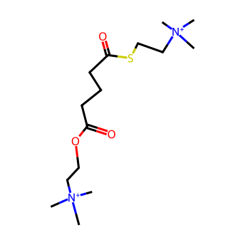 C[N+](C)(C)CCOC(=O)CCCC(=O)SCC[N+](C)(C)C